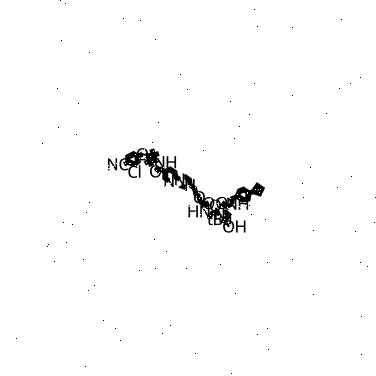 CC(C)(C)C(NC(=O)COCCN1CCN(c2ccc(C(=O)N[C@H]3C(C)(C)[C@H](Oc4ccc(C#N)c(Cl)c4)C3(C)C)cn2)CC1)C(=O)N1C[C@H](O)C[C@H]1C(=O)NCc1ccc(C2CCC2)cc1